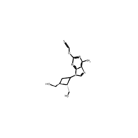 Nc1nc(OC=S)nc2c1ncn2C1C[C@H](CO)[C@H]1CO